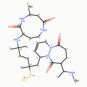 CC(NC(C)(C)C)C1CCC(=O)N2CC=CC(CC(C)(CCC(C)(C)NC3CCNC(=O)CC(C(C)(C)C)NC3=O)SS)N2C1=O